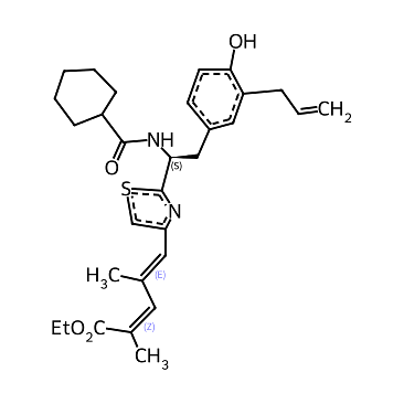 C=CCc1cc(C[C@H](NC(=O)C2CCCCC2)c2nc(/C=C(C)/C=C(/C)C(=O)OCC)cs2)ccc1O